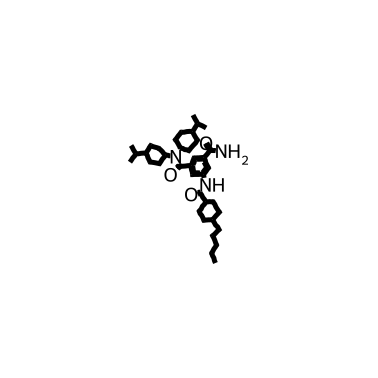 CCCCCC1CCC(C(=O)Nc2cc(C(N)=O)cc(C(=O)N(C3CCC(C(C)C)CC3)C3CCC(C(C)C)CC3)c2)CC1